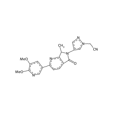 COc1cc(-c2ccc3c(n2)C(C)N(c2cnn(CC#N)c2)C3=O)cnc1OC